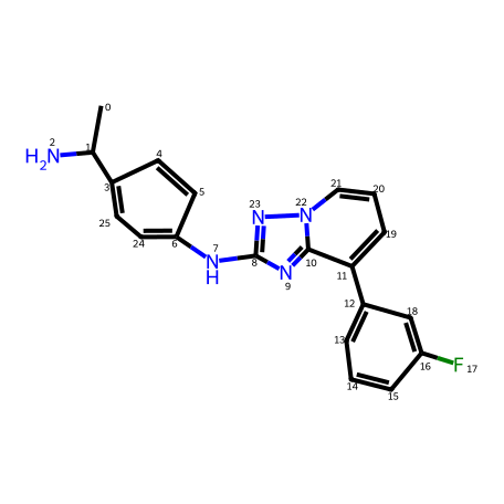 CC(N)c1ccc(Nc2nc3c(-c4cccc(F)c4)cccn3n2)cc1